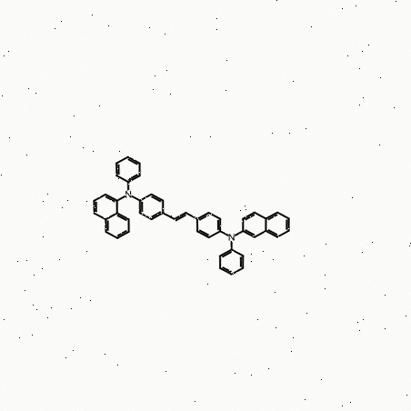 C(=C\c1ccc(N(c2ccccc2)c2cccc3ccccc23)cc1)/c1ccc(N(c2ccccc2)c2ccc3ccccc3c2)cc1